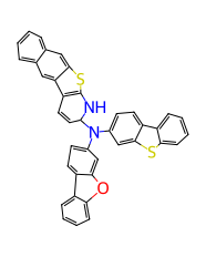 C1=CC(N(c2ccc3c(c2)oc2ccccc23)c2ccc3c(c2)sc2ccccc23)Nc2sc3cc4ccccc4cc3c21